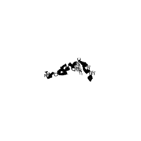 Cn1nccc1COc1ccc2c(c1)CCN(CC(O)CNC(=O)c1ccc(NC3CCC3)nc1)C2